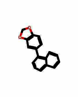 [c]1ccc2ccccc2c1-c1ccc2c(c1)OCO2